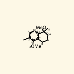 COc1c(C)cnc2c1CCCC2(C)OC